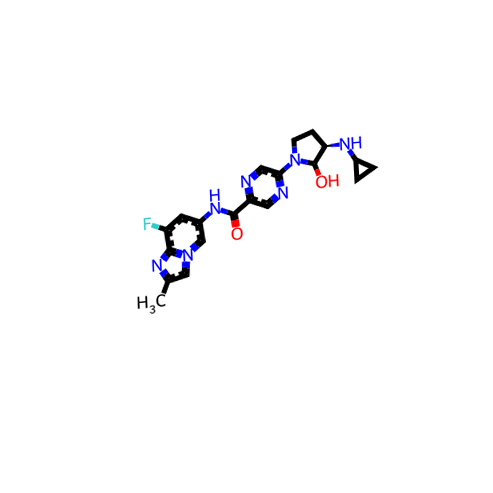 Cc1cn2cc(NC(=O)c3cnc(N4CC[C@@H](NC5CC5)C4O)cn3)cc(F)c2n1